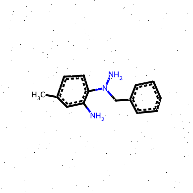 Cc1ccc(N(N)Cc2ccccc2)c(N)c1